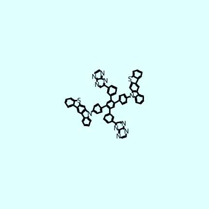 c1cc(-c2cnc3nccnc3n2)cc(-c2cc(-c3ccc(-n4c5ccccc5c5cc6c(cc54)sc4ccccc46)cc3)c(-c3cccc(-c4cnc5nccnc5n4)c3)cc2-c2ccc(-n3c4ccccc4c4cc5c(cc43)sc3ccccc35)cc2)c1